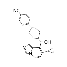 N#Cc1ccc([C@H]2CC[C@@H](C(O)c3c(C4CC4)ccn4cncc34)CC2)cc1